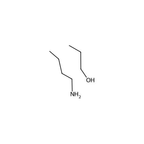 CCCCN.CCCO